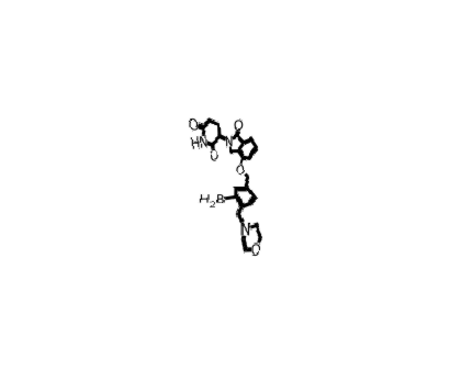 Bc1cc(COc2cccc3c2CN(C2CCC(=O)NC2=O)C3=O)ccc1CN1CCOCC1